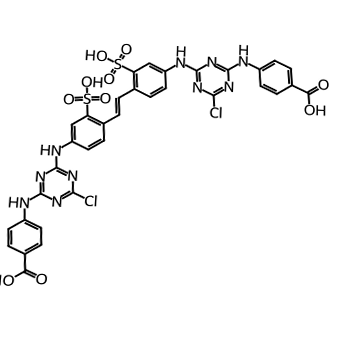 O=C(O)c1ccc(Nc2nc(Cl)nc(Nc3ccc(/C=C/c4ccc(Nc5nc(Cl)nc(Nc6ccc(C(=O)O)cc6)n5)cc4S(=O)(=O)O)c(S(=O)(=O)O)c3)n2)cc1